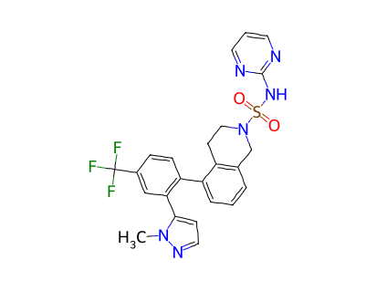 Cn1nccc1-c1cc(C(F)(F)F)ccc1-c1cccc2c1CCN(S(=O)(=O)Nc1ncccn1)C2